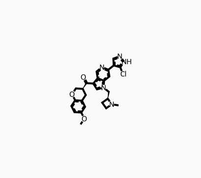 COc1ccc2c(c1)C[C@H](C(=O)c1cn(C[C@@H]3CCN3C)c3cc(-c4cn[nH]c4Cl)ncc13)CO2